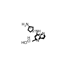 Cc1cc(N[C@@H]2CC[C@H](N)C2)n2nccc2n1.Cl.Cl